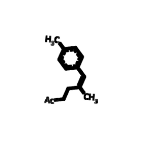 CC(=O)CCC(C)=Cc1ccc(C)cc1